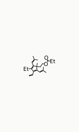 C=CC1=C(C=C(C)C)C(C)(CCOC(=O)CC)C(C=C(C)C)=C1CC